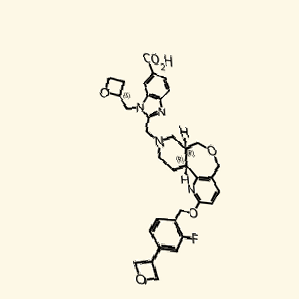 O=C(O)c1ccc2nc(CN3CC[C@H]4c5nc(OCc6ccc(C7COC7)cc6F)ccc5COC[C@H]4C3)n(C[C@@H]3CCO3)c2c1